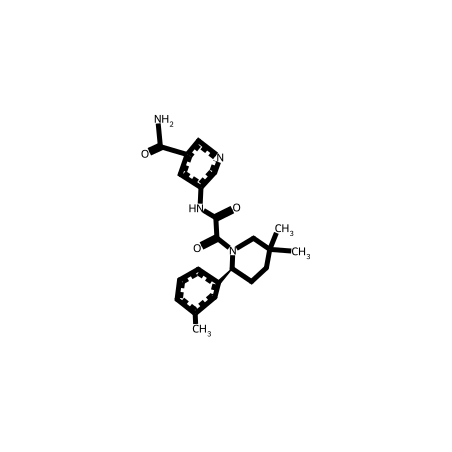 Cc1cccc([C@@H]2CCC(C)(C)CN2C(=O)C(=O)Nc2cncc(C(N)=O)c2)c1